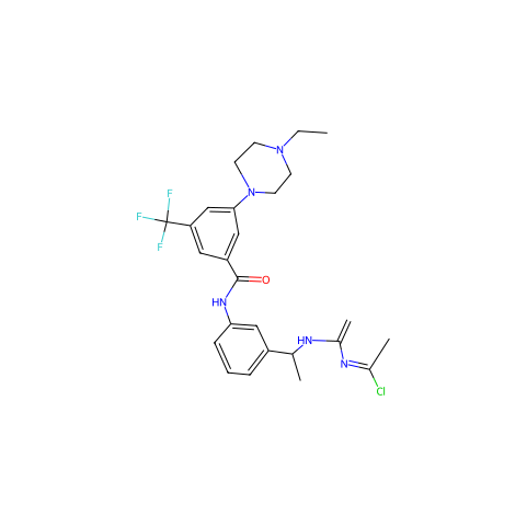 C=C(/N=C(\C)Cl)NC(C)c1cccc(NC(=O)c2cc(N3CCN(CC)CC3)cc(C(F)(F)F)c2)c1